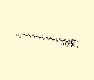 CCCCCCCCCCCCCCCCCCNCCC[N+](C)(C)CC